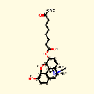 COC(=O)CCCCCCC(=O)O[C@H]1C=C[C@H]2[C@H]3Cc4ccc(O)c5c4[C@@]2(CCN3C)[C@H]1O5